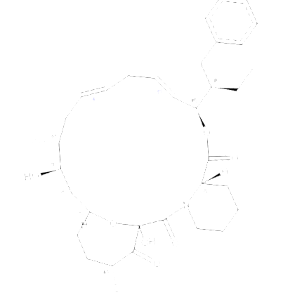 CC[C@H](Cc1ccccc1)[C@@H]1/C=C/C/C=C/C[C@@H](C)[C@H](O)[C@@H](C)[C@@H]2CC[C@@H](C)C(=O)C(O)(O2)C(=O)N2CCCC[C@H]2C(=O)O1